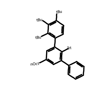 [2H]c1c(-c2ccccc2)cc(CCCCCCCC)cc1-c1ccc(C(C)(C)C)c(C(C)(C)C)c1C(C)(C)C